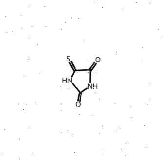 O=C1NC(=O)C(=S)N1